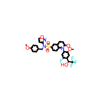 COc1ccc(CN(c2ccon2)S(=O)(=O)c2ccc3c(ccc(=O)n3-c3cc(F)c(C(O)C(F)(F)F)cc3OC)c2)cc1